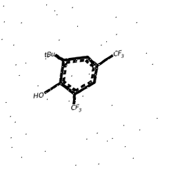 CC(C)(C)c1cc(C(F)(F)F)cc(C(F)(F)F)c1O